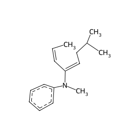 C/C=C\C(=C/CC(C)C)N(C)c1ccccc1